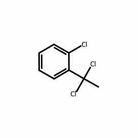 CC(Cl)(Cl)c1ccccc1Cl